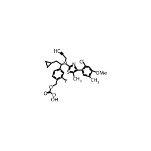 C#CCN(c1nc(-c2cc(C)c(OC)cc2Cl)c(C)s1)C(CC1CC1)c1ccc(COC(=O)OO)c(F)c1